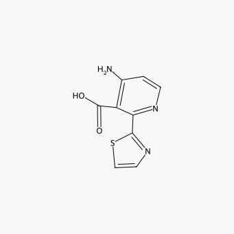 Nc1ccnc(-c2nccs2)c1C(=O)O